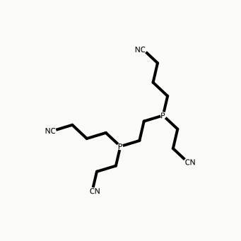 N#CCCCP(CCC#N)CCP(CCC#N)CCCC#N